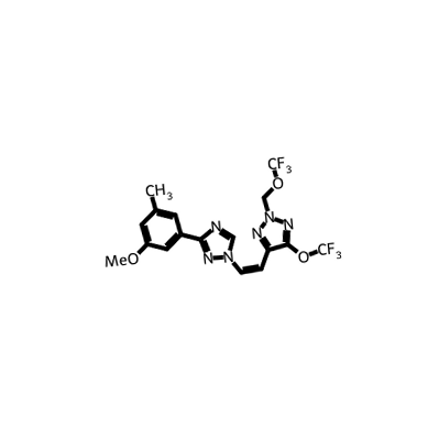 COc1cc(C)cc(-c2ncn(/C=C\c3nn(COC(F)(F)F)nc3OC(F)(F)F)n2)c1